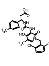 Cc1ccc([C@H](CC(=O)O)NC(=O)Nc2c(O)c(C)cn(Cc3c(Cl)cccc3Cl)c2=O)cc1